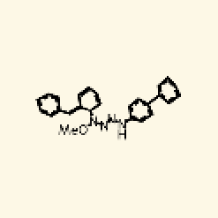 CON(N=NNc1ccc(-c2ccccc2)cc1)C1C=CC=CC1=Cc1ccccc1